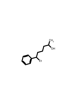 CCC(CCCC(C)O)c1ccccc1